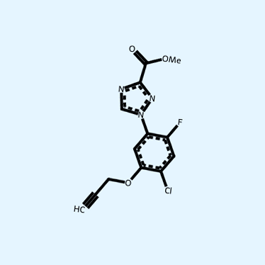 C#CCOc1cc(-n2cnc(C(=O)OC)n2)c(F)cc1Cl